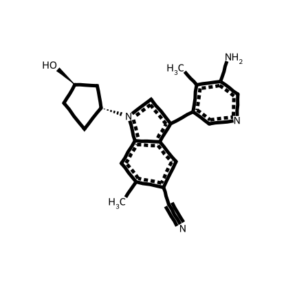 Cc1cc2c(cc1C#N)c(-c1cncc(N)c1C)cn2[C@@H]1CC[C@@H](O)C1